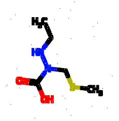 CCNN(CSC)C(=O)O